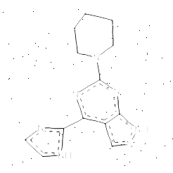 c1c[nH]c(-c2nc(N3CCCCC3)nc3[nH]ncc23)n1